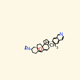 C[C@]12CC=C3C=C4CC[C@@H](N5CC5)C[C@]45CCC3(O5)[C@@H]1CC[C@@H]2c1ccc2ccncc2c1